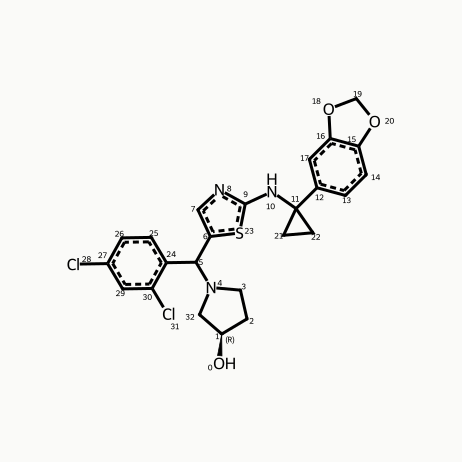 O[C@@H]1CCN(C(c2cnc(NC3(c4ccc5c(c4)OCO5)CC3)s2)c2ccc(Cl)cc2Cl)C1